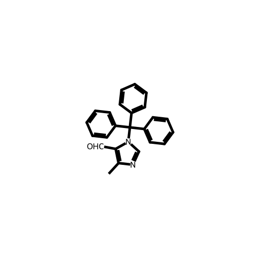 Cc1ncn(C(c2ccccc2)(c2ccccc2)c2ccccc2)c1C=O